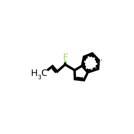 CC=CC(F)C1C=Cc2c[c]ccc21